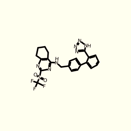 O=S(=O)(c1nc2c(c(NCc3ccc(-c4ccccc4-c4nnn[nH]4)cc3)n1)CCCC2)C(F)(F)F